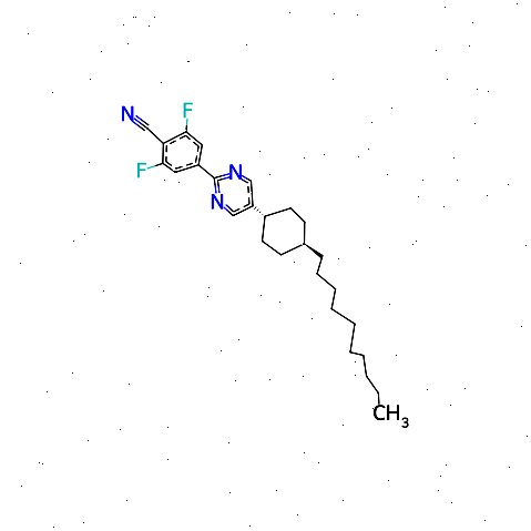 CCCCCCCCCC[C@H]1CC[C@H](c2cnc(-c3cc(F)c(C#N)c(F)c3)nc2)CC1